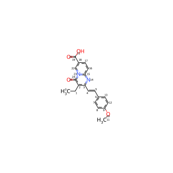 CCc1c(C=Cc2ccc(OC)cc2)nc2ccc(C(=O)O)cn2c1=O